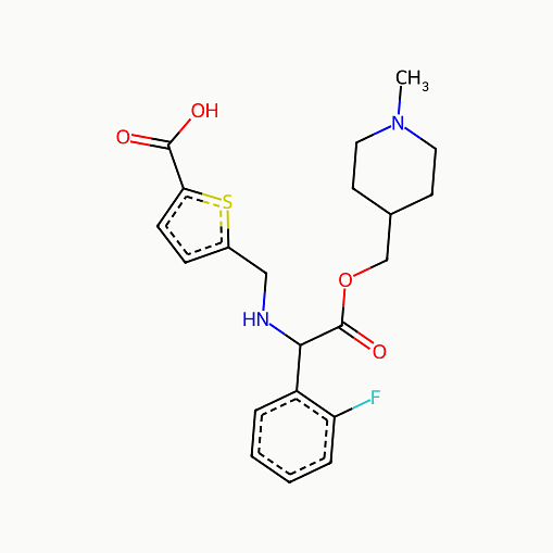 CN1CCC(COC(=O)C(NCc2ccc(C(=O)O)s2)c2ccccc2F)CC1